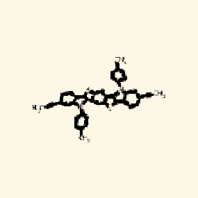 CC#Cc1ccc2c3sc4cc5c(cc4c3n(-c3ccc(C)cc3)c2c1)sc1c2ccc(C#CC)cc2n(-c2ccc(C)cc2)c51